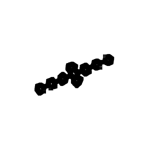 c1ccc(-c2ccc(-c3ccc(-c4c5ccccc5c(-c5ccc(-c6ccc(-c7ccccn7)nc6)cc5)c5ccccc45)cc3)cn2)nc1